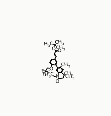 CCN1C(=O)CC(C)(C)c2cc(C)c(-c3cc(/C=C/C(=O)OC(C)(C)C)ccc3OCC(F)(F)F)cc21